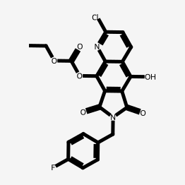 CCOC(=O)Oc1c2c(c(O)c3ccc(Cl)nc13)C(=O)N(Cc1ccc(F)cc1)C2=O